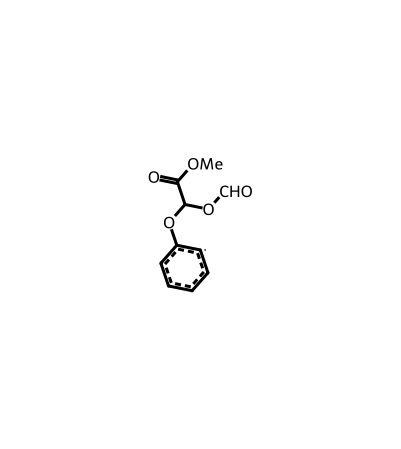 COC(=O)C(OC=O)Oc1[c]cccc1